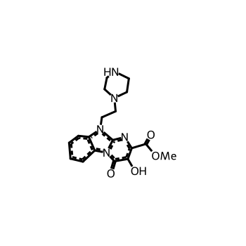 COC(=O)c1nc2n(CCN3CCNCC3)c3ccccc3n2c(=O)c1O